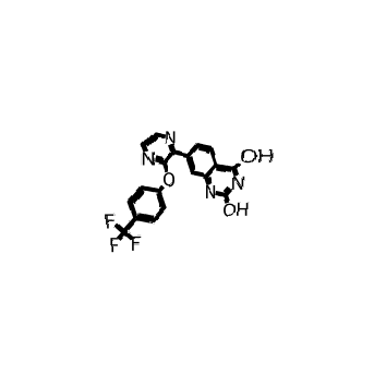 Oc1nc(O)c2ccc(-c3nccnc3Oc3ccc(C(F)(F)F)cc3)cc2n1